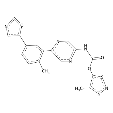 Cc1ccc(-c2cnco2)cc1-c1cnc(NC(=O)Oc2snnc2C)cn1